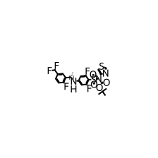 C[C@H](Nc1cc(F)c(S(=O)(=O)N(C(=O)OC(C)(C)C)c2cscn2)c(F)c1)c1cc(C(F)F)ccc1F